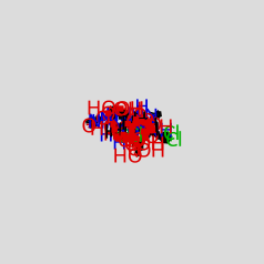 CN[C@H](CC(C)C)C(=O)N[C@H]1C(=O)N[C@@H](CC(N)=O)C(=O)N[C@H]2C(=O)N[C@H]3C(=O)N[C@H](C(=O)N[C@@H](C(=O)NOCCN4CCOCC4)c4cc(O)cc(O)c4-c4cc3ccc4O)[C@H](O)c3ccc(c(Cl)c3)Oc3cc2cc(c3O[C@@H]2O[C@H](CO)[C@@H](O)[C@H](O)[C@H]2O[C@H]2C[C@](C)(NCCn3ccc(NC(=O)/C=C/c4ccc(Cl)c(Cl)c4)nc3=O)[C@H](O)[C@H](C)O2)Oc2ccc(cc2Cl)[C@H]1O